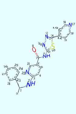 CC(Nc1ccc(C(=O)Nc2nnc(-c3ccncc3)s2)cn1)c1ccccc1